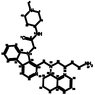 CN1CCC(NC(=O)Cn2c3ccccc3c3ccnc(CN(CCCCN)[C@H]4CCCc5cccnc54)c32)CC1